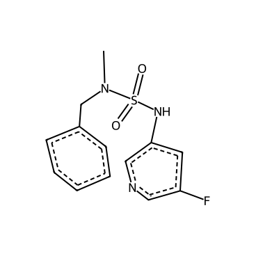 CN(Cc1ccccc1)S(=O)(=O)Nc1cncc(F)c1